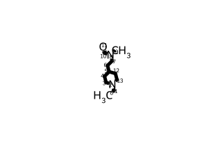 CCN1CCC(CCN(C)C=O)CC1